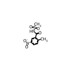 Cc1ccc([N+](=O)[O-])cc1C(=O)NS(C)(=O)=O